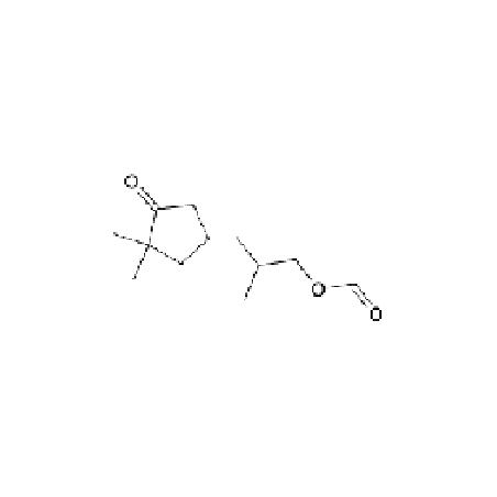 CC(C)COC=O.CC1(C)CCCC1=O